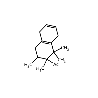 CC(=O)C1(C)C(C)CC2=C(CC=CC2)C1(C)C